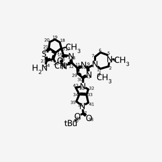 C[C@H]1CN(C)CCCN1c1nc(-c2noc([C@@]3(C)CCCc4sc(N)c(C#N)c43)n2)cc(N2CC3=C(CN(C(=O)OC(C)(C)C)C3)C2)n1